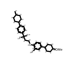 COC1CCC(c2ccc(OCCC(F)(F)c3ccc(C4CCC(C)CC4)cc3)c(F)c2)CC1